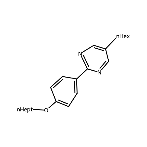 CCCCCCCOc1ccc(-c2ncc(CCCCCC)cn2)cc1